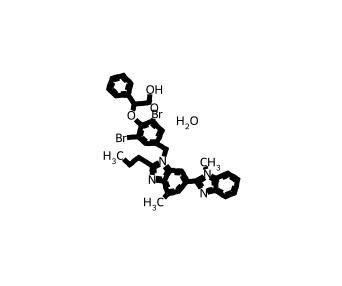 CCCc1nc2c(C)cc(-c3nc4ccccc4n3C)cc2n1Cc1cc(Br)c(OC(C(=O)O)c2ccccc2)c(Br)c1.O